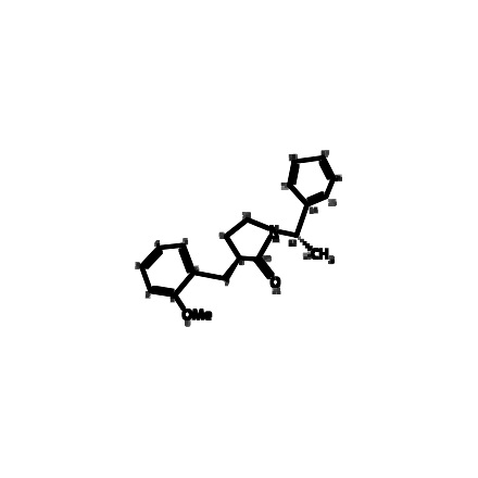 COc1ccccc1C[C@H]1CCN([C@@H](C)c2ccccc2)C1=O